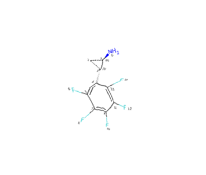 N[C@@H]1C[C@H]1c1c(F)c(F)c(F)c(F)c1F